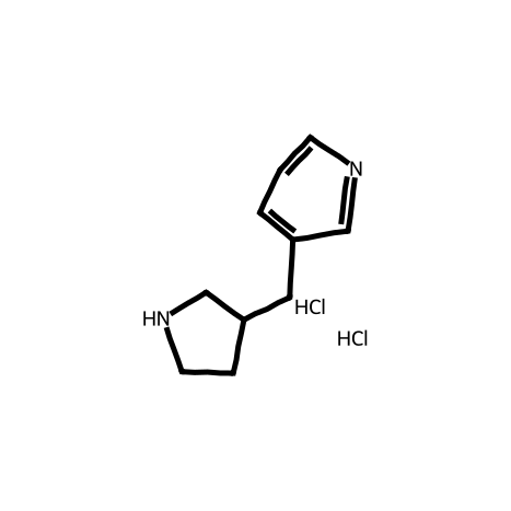 Cl.Cl.c1cncc(CC2CCNC2)c1